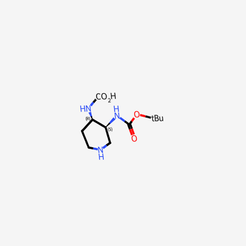 CC(C)(C)OC(=O)N[C@H]1CNCC[C@H]1NC(=O)O